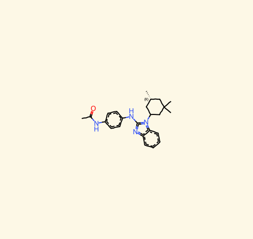 CC(=O)Nc1ccc(Nc2nc3ccccc3n2C2C[C@H](C)CC(C)(C)C2)cc1